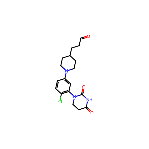 O=CCCC1CCN(c2ccc(Cl)c(N3CCC(=O)NC3=O)c2)CC1